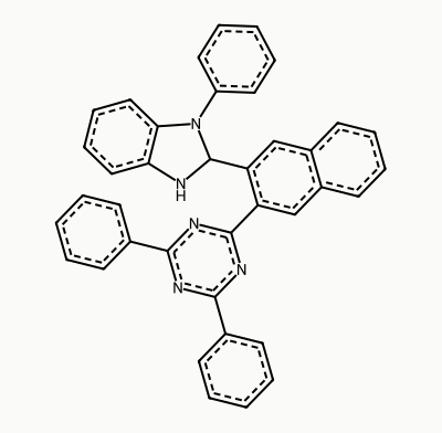 c1ccc(-c2nc(-c3ccccc3)nc(-c3cc4ccccc4cc3C3Nc4ccccc4N3c3ccccc3)n2)cc1